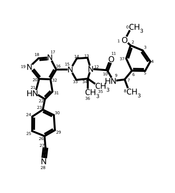 COc1cccc(C(C)NC(=O)N2CCN(c3ncnc4[nH]c(-c5ccc(C#N)cc5)cc34)CC2(C)C)c1